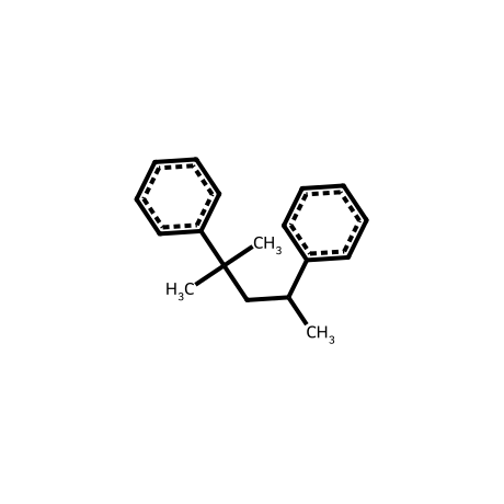 CC(CC(C)(C)c1ccccc1)c1ccccc1